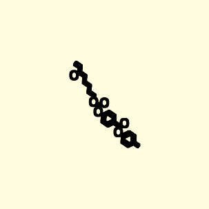 C=CC(=O)CCCCCOC(=O)Oc1ccc(C(=O)Oc2ccc(C)cc2)cc1